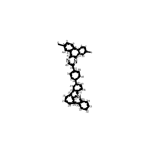 Cc1ccc2c3ccc(C)cc3c3nc(-c4ccc(-c5ccc6c(c5)c5cccc7c8ccccc8n6c75)cc4)cnc3c2c1